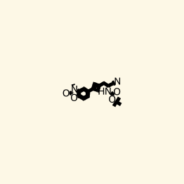 Cn1c(=O)oc2ccc(C34CC(CC(C#N)NC(=O)OC(C)(C)C)(C3)C4)cc21